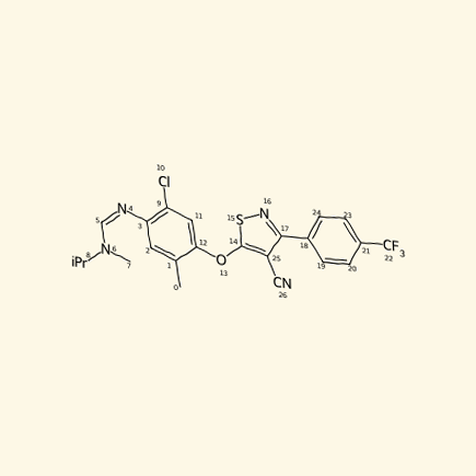 Cc1cc(/N=C\N(C)C(C)C)c(Cl)cc1Oc1snc(-c2ccc(C(F)(F)F)cc2)c1C#N